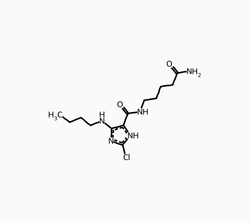 CCCCNc1nc(Cl)[nH]c1C(=O)NCCCCC(N)=O